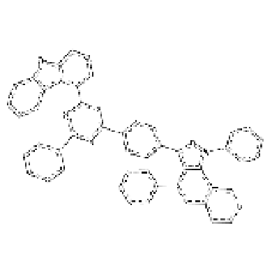 c1ccc(-c2nc(-c3ccc(-c4nn(-c5ccccc5)c5c4c(-c4ccccc4)cc4ccccc45)cc3)cc(-c3cccc4oc5ccccc5c34)n2)cc1